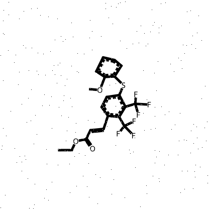 CCOC(=O)C=Cc1ccc(Sc2ccccc2OC)c(C(F)(F)F)c1C(F)(F)F